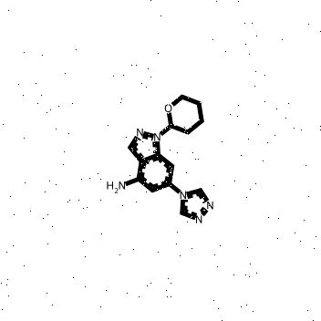 Nc1cc(-n2cnnc2)cc2c1cnn2C1CCCCO1